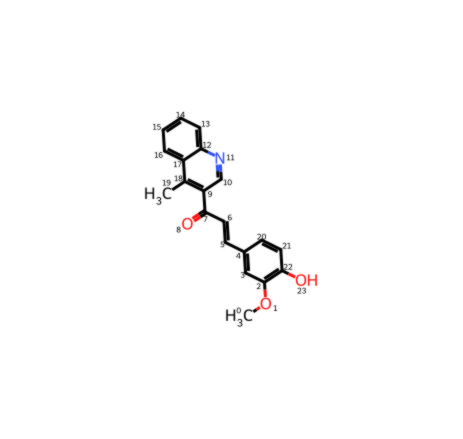 COc1cc(C=CC(=O)c2cnc3ccccc3c2C)ccc1O